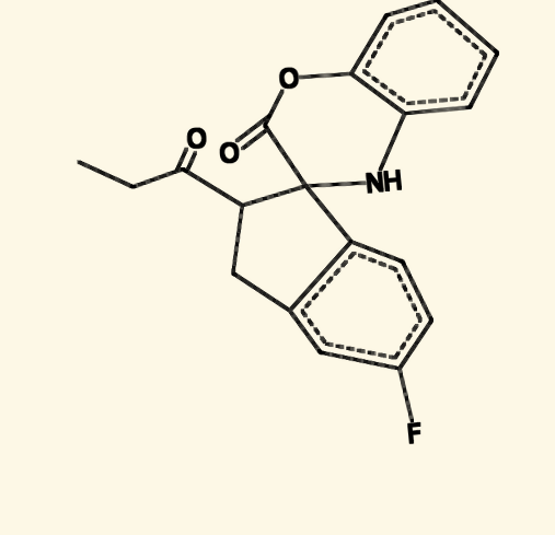 CCC(=O)C1Cc2cc(F)ccc2C12Nc1ccccc1OC2=O